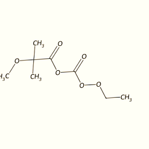 CCOOC(=O)OC(=O)C(C)(C)OC